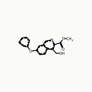 COC(=O)c1ncc2cc(Oc3ccccc3)ccc2c1CO